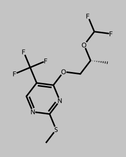 CSc1ncc(C(F)(F)F)c(OC[C@@H](C)OC(F)F)n1